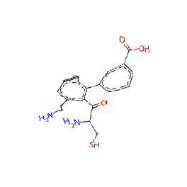 NCc1cccc(-c2cccc(C(=O)O)c2)c1C(=O)C(N)CS